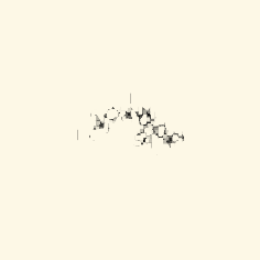 CCC(=O)N(C)[C@H]1CC[C@H](CC(=O)Nc2cc(-c3ccsc3)c(-c3ccc(C4(N)CC(F)C4)cc3)nn2)CC1